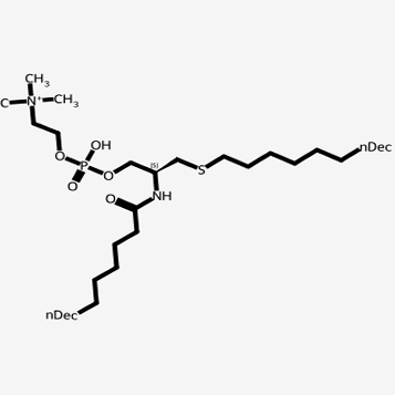 CCCCCCCCCCCCCCCCSC[C@H](COP(=O)(O)OCC[N+](C)(C)C)NC(=O)CCCCCCCCCCCCCCC